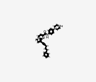 O=C(Nc1ccc(N2CCNCC2)cc1)c1ccn2ncc(C#CCCCc3ccccc3)c2n1